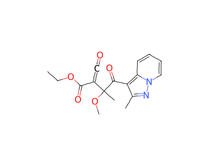 CCOC(=O)C(=C=O)C(C)(OC)C(=O)c1c(C)nn2ccccc12